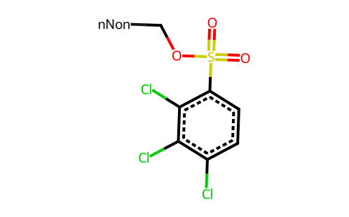 CCCCCCCCCCOS(=O)(=O)c1ccc(Cl)c(Cl)c1Cl